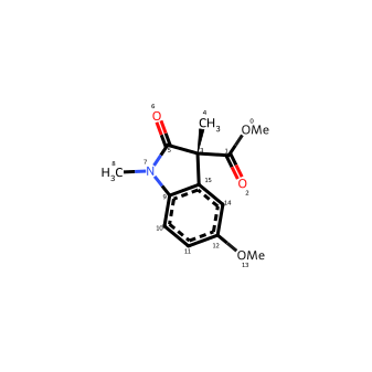 COC(=O)[C@@]1(C)C(=O)N(C)c2ccc(OC)cc21